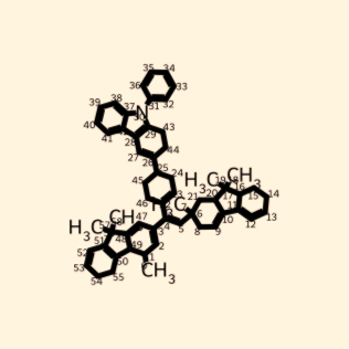 CC1C=C(/C(=C/C2(C)CC=C3C4=C=CCCC4C(C)(C)C3C2)C2=CCC(C3=Cc4c(n(-c5ccccc5)c5ccccc45)CC3)CC2)C=C2C1C1=C(C=CCC1)C2(C)C